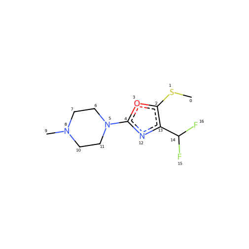 CSc1oc(N2CCN(C)CC2)nc1C(F)F